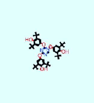 CC(C)(C)c1cc(OC2=NCN(Oc3cc(C(C)(C)C)c(O)c(C(C)(C)C)c3)C(Oc3cc(C(C)(C)C)c(O)c(C(C)(C)C)c3)=N2)cc(C(C)(C)C)c1O